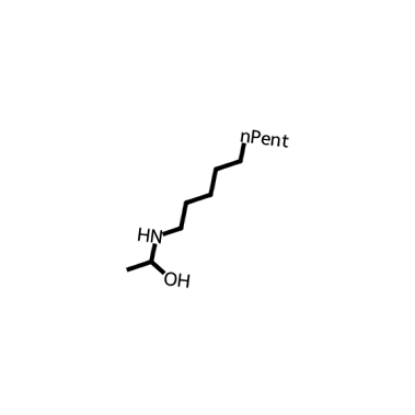 CCCCCCCCCCNC(C)O